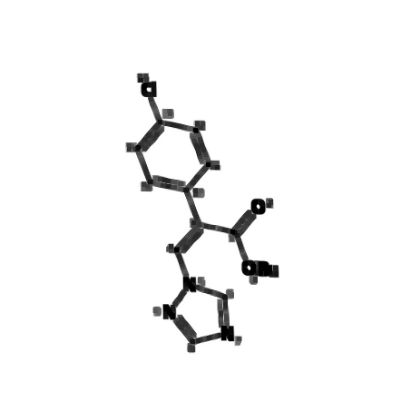 CC(C)COC(=O)C(=Cn1cncn1)c1ccc(Cl)cc1